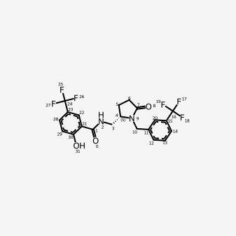 O=C(NC[C@@H]1CCC(=O)N1Cc1cccc(C(F)(F)F)c1)c1cc(C(F)(F)F)ccc1O